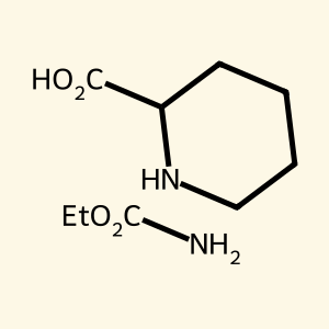 CCOC(N)=O.O=C(O)C1CCCCN1